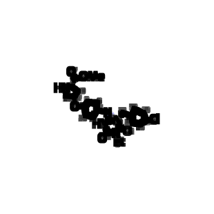 CCn1c(=O)[nH]/c(=N\c2ccc(O[C@H]3CN[C@H](C(=O)OC)C3)cc2)n(Cc2ccc(Cl)cc2)c1=O